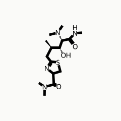 CNC(=O)[C@H]([C@H](O)[C@H](C)CC1=NC(C(=O)N(C)C)CS1)N(C)C